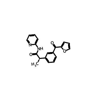 C[C@@H](C(=O)Nc1ccccn1)c1cccc(C(=O)c2ccco2)c1